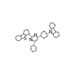 c1ccc(-c2cc(-c3ccc(-n4c5ccccc5c5ccccc54)cc3)nc(-c3cccc4c3sc3ccccc34)n2)cc1